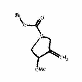 C=C1CN(C(=O)OC(C)(C)C)CC1OC